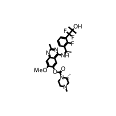 COc1cc2nc(C)nc(N[C@H](C)c3cccc(C(F)(F)C(C)(C)O)c3F)c2cc1OC(=O)N1CCN(C)C[C@H]1C